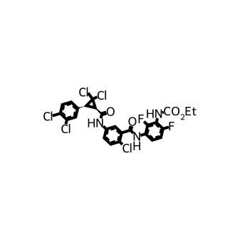 CCOC(=O)Nc1c(F)ccc(NC(=O)c2cc(NC(=O)[C@H]3[C@H](c4ccc(Cl)c(Cl)c4)C3(Cl)Cl)ccc2Cl)c1F